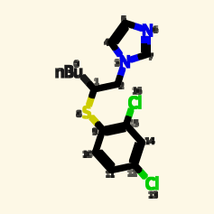 CCCCC(Cn1ccnc1)Sc1ccc(Cl)cc1Cl